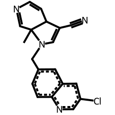 CC12C=NC=CC1C(C#N)=CN2Cc1ccc2ncc(Cl)cc2c1